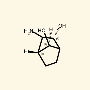 NC1[C@H](O)C2CC[C@H]1[C@H]2O